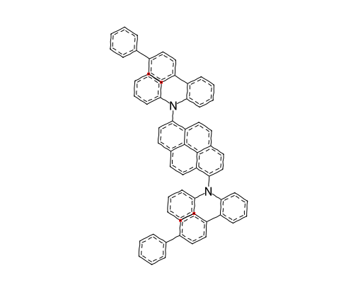 c1ccc(-c2ccc(-c3ccccc3N(c3ccccc3)c3ccc4ccc5c(N(c6ccccc6)c6ccccc6-c6ccc(-c7ccccc7)cc6)ccc6ccc3c4c65)cc2)cc1